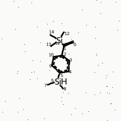 C=C(c1ccc([SiH](C)C)cc1)[Si](C)(C)C